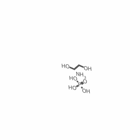 N.O=P(O)(O)O.OCCO